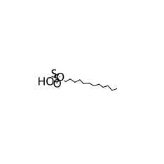 CCCCCCCCCCCCOS(=O)(O)=S